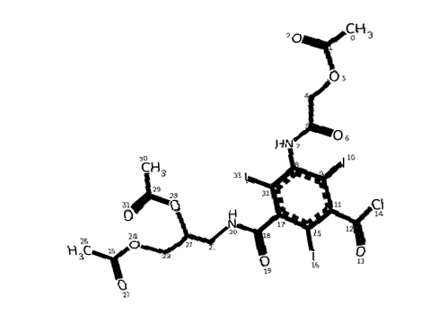 CC(=O)OCC(=O)Nc1c(I)c(C(=O)Cl)c(I)c(C(=O)NCC(COC(C)=O)OC(C)=O)c1I